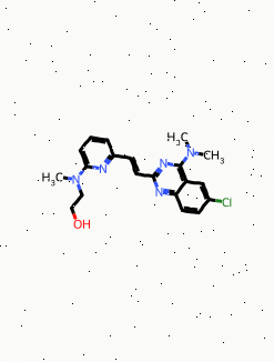 CN(C)c1nc(C=Cc2cccc(N(C)CCO)n2)nc2ccc(Cl)cc12